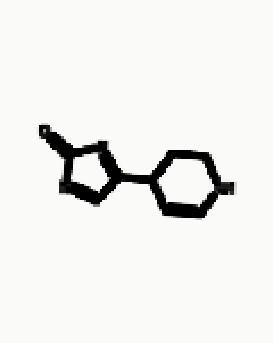 O=C1N=CC(C2C=CNCC2)=N1